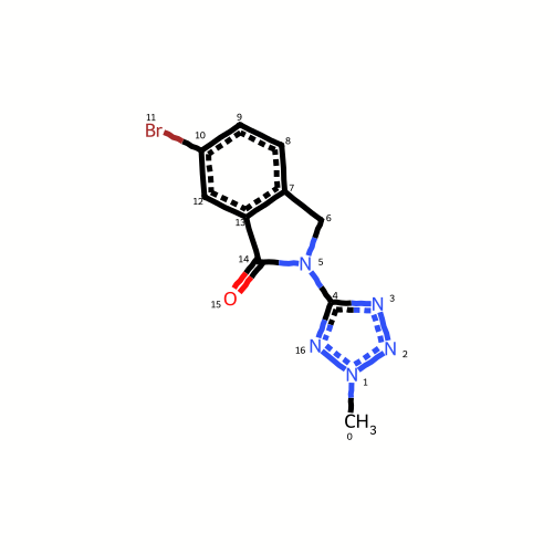 Cn1nnc(N2Cc3ccc(Br)cc3C2=O)n1